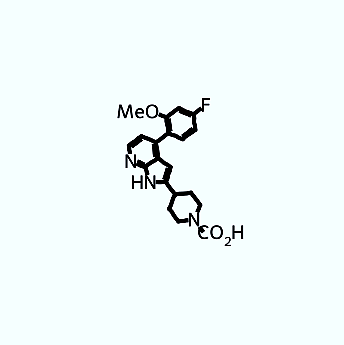 COc1cc(F)ccc1-c1ccnc2[nH]c(C3CCN(C(=O)O)CC3)cc12